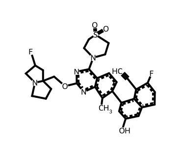 C#Cc1c(F)ccc2cc(O)cc(-c3ccc4c(N5CCS(=O)(=O)CC5)nc(OCC56CCCN5CC(F)C6)nc4c3C)c12